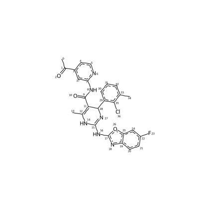 CC(=O)c1ccnc(NC(=O)C2=C(C)NC(Nc3nc4ccc(F)cc4o3)=NC2c2cccc(C)c2Cl)c1